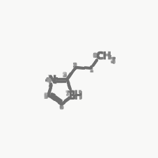 CCCC1=NC=CB1